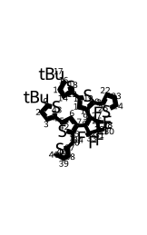 CC(C)(C)c1ccc(-c2cc(C3=C(c4cc(-c5ccc(C(C)(C)C)s5)sc4-c4cccs4)C(F)(F)C(F)(F)C3(F)F)c(Cc3cccs3)s2)s1